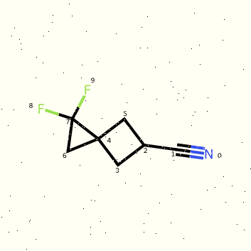 N#CC1CC2(C1)CC2(F)F